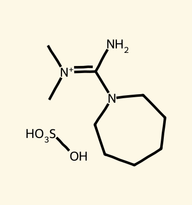 C[N+](C)=C(N)N1CCCCCC1.O=S(=O)(O)O